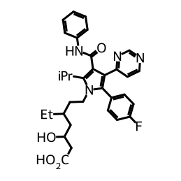 CCC(CCn1c(-c2ccc(F)cc2)c(-c2ccncn2)c(C(=O)Nc2ccccc2)c1C(C)C)CC(O)CC(=O)O